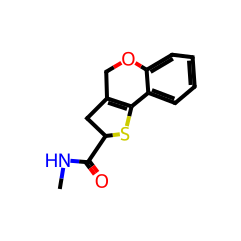 CNC(=O)C1CC2=C(S1)c1ccccc1OC2